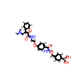 CN(C)Cc1c(C(=O)NCCOc2ccc(C(=O)NOCc3ccc(B(O)O)cc3)cc2)oc2ccccc12